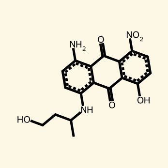 CC(CCO)Nc1ccc(N)c2c1C(=O)c1c(O)ccc([N+](=O)[O-])c1C2=O